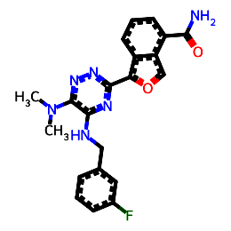 CN(C)c1nnc(-c2occ3c(C(N)=O)cccc23)nc1NCc1cccc(F)c1